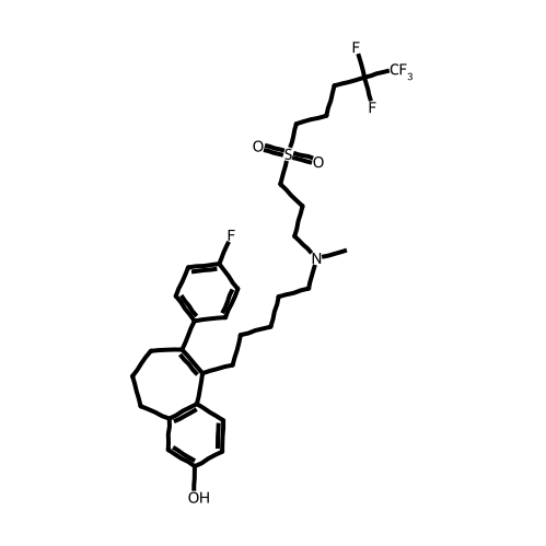 CN(CCCCCC1=C(c2ccc(F)cc2)CCCc2cc(O)ccc21)CCCS(=O)(=O)CCCC(F)(F)C(F)(F)F